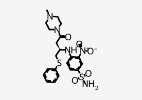 CN1CCN(C(=O)C[C@H](CSc2ccccc2)Nc2ccc(S(N)(=O)=O)cc2[N+](=O)[O-])CC1